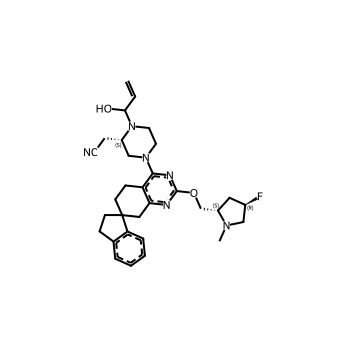 C=CC(O)N1CCN(c2nc(OC[C@@H]3C[C@@H](F)CN3C)nc3c2CCC2(CCc4ccccc42)C3)C[C@@H]1CC#N